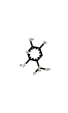 Cc1nc(O)c(Br)cc1[NH+]([O-])O